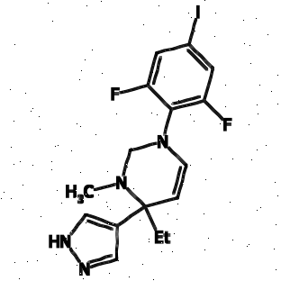 CCC1(c2cn[nH]c2)C=CN(c2c(F)cc(I)cc2F)CN1C